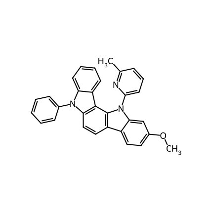 COc1ccc2c3ccc4c(c5ccccc5n4-c4ccccc4)c3n(-c3cccc(C)n3)c2c1